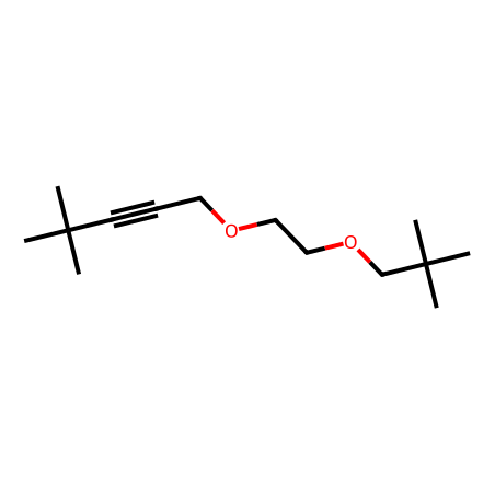 CC(C)(C)C#CCOCCOCC(C)(C)C